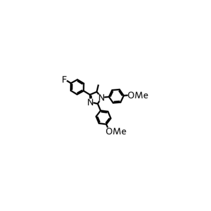 COc1ccc(C2N=C(c3ccc(F)cc3)C(C)N2c2ccc(OC)cc2)cc1